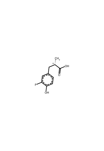 C[C@@H](Cc1ccc(O)c(F)c1)C(=O)O